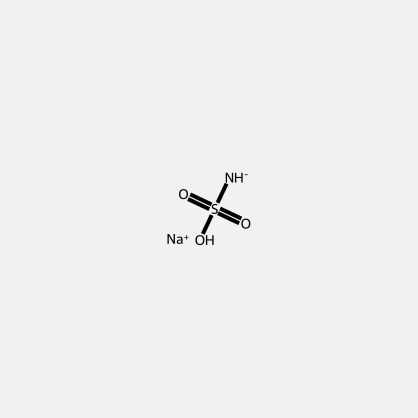 [NH-]S(=O)(=O)O.[Na+]